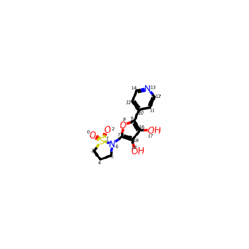 O=S1(=O)CCCN1c1oc(-c2ccncc2)c(O)c1O